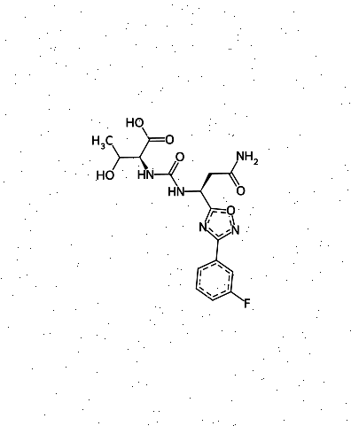 CC(O)[C@H](NC(=O)N[C@@H](CC(N)=O)c1nc(-c2cccc(F)c2)no1)C(=O)O